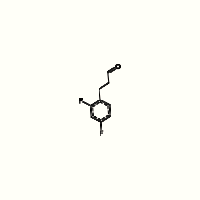 O=CCCc1ccc(F)cc1F